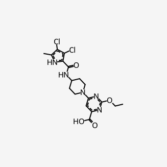 CCOc1nc(C(=O)O)cc(N2CCC(NC(=O)c3[nH]c(C)c(Cl)c3Cl)CC2)n1